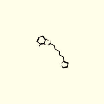 Brc1cccc2nc(CCCCCc3ccco3)sc12